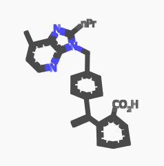 C=C(c1ccc(Cn2c(CCC)nc3c(C)ccnc32)cc1)c1ccccc1C(=O)O